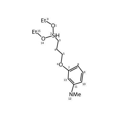 CCO[SiH](CCCOc1cccc(NC)c1)OCC